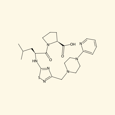 CC(C)C[C@H](Nc1nc(CN2CCN(c3ccccn3)CC2)ns1)C(=O)N1CCC[C@H]1C(=O)O